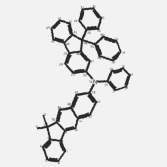 CC1(C)c2ccccc2-c2cc3ccc(N(c4ccccc4)c4ccc5c(c4)C(c4ccccc4)(c4ccccc4)c4ccccc4-5)cc3cc21